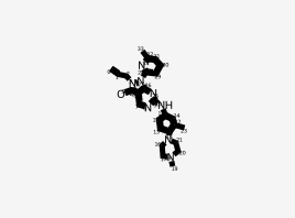 C=CCn1c(=O)c2cnc(Nc3ccc(N4CCN(C)CC4)c(C)c3)nc2n1-c1cccc(C)n1